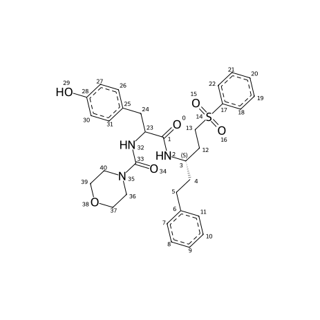 O=C(N[C@@H](CCc1ccccc1)CCS(=O)(=O)c1ccccc1)C(Cc1ccc(O)cc1)NC(=O)N1CCOCC1